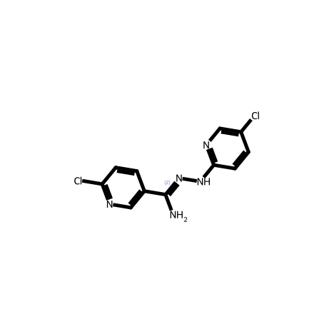 N/C(=N\Nc1ccc(Cl)cn1)c1ccc(Cl)nc1